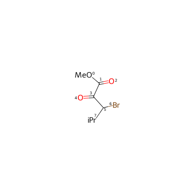 COC(=O)C(=O)C(Br)C(C)C